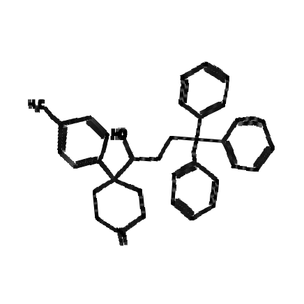 Cc1ccc(C2(C(O)CCC(c3ccccc3)(c3ccccc3)c3ccccc3)CCNCC2)cc1